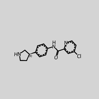 O=C(Nc1ccc([C@H]2CCNC2)cc1)c1cc(Cl)ccn1